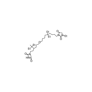 CCN1CC(=O)N(CCCCC(CC)(CC)CCCCOCCCC(CCN2CC(=O)NC2=O)C(C)(CC)CC)C1=O